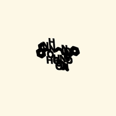 CC(C)C[C@H](NC(=O)C1(Cc2ccccc2)CC(CCNC(=O)c2nccc3ccccc23)=NO1)B(O)O